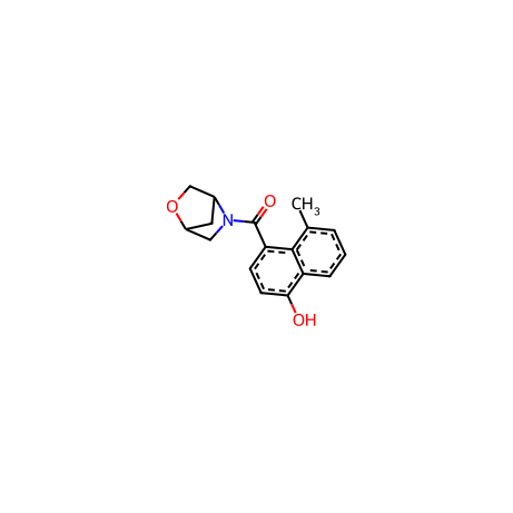 Cc1cccc2c(O)ccc(C(=O)N3CC4CC3CO4)c12